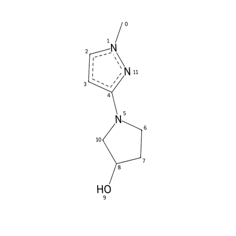 Cn1ccc(N2CCC(O)C2)n1